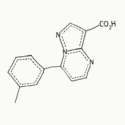 Cc1cccc(-c2ccnc3c(C(=O)O)cnn23)c1